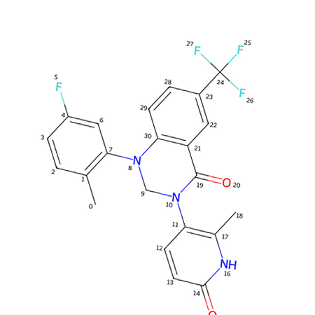 Cc1ccc(F)cc1N1CN(c2ccc(=O)[nH]c2C)C(=O)c2cc(C(F)(F)F)ccc21